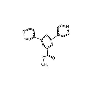 COC(=O)c1cc(-c2ccncc2)cc(-c2ccncc2)c1